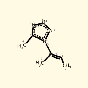 C/C=C(\C)[n+]1n[nH]nc1C